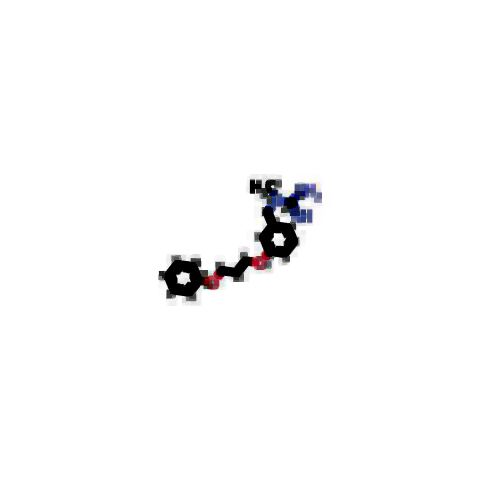 CN(Cc1cccc(OCCCOc2ccccc2)c1)C(=N)N